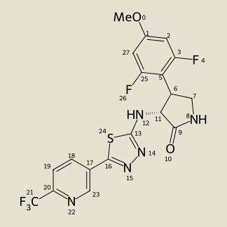 COc1cc(F)c(C2CNC(=O)[C@@H]2Nc2nnc(-c3ccc(C(F)(F)F)nc3)s2)c(F)c1